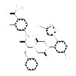 NC(=O)c1ccc(NC(=O)[C@H](Cc2ccccc2)N2CC(=O)N(c3cc(Cl)ccc3-n3cc(Cl)nn3)CC2=O)cc1F